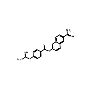 CNC(=N)Nc1ccc(C(=O)Oc2ccc3cc(C(=N)N)ccc3c2)cc1